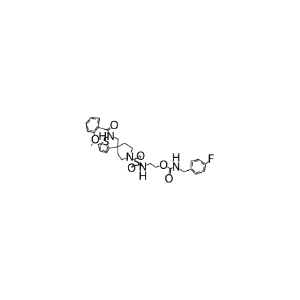 COc1ccccc1C(=O)NCC1(c2cccs2)CCN(S(=O)(=O)NCCOC(=O)NCc2ccc(F)cc2)CC1